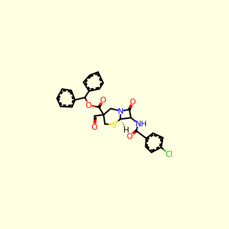 O=CC1(C(=O)OC(c2ccccc2)c2ccccc2)CS[C@@H]2C(NC(=O)c3ccc(Cl)cc3)C(=O)N2C1